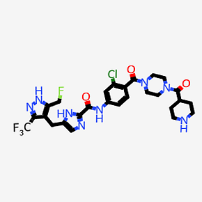 O=C(Nc1ccc(C(=O)N2CCN(C(=O)C3CCNCC3)CC2)c(Cl)c1)c1ncc(Cc2c(C(F)(F)F)n[nH]c2CF)[nH]1